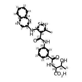 Cc1nsc(Nc2cnc3ccccc3n2)c1C(=O)Nc1cccc(C(=O)NC(C(=O)O)C(C)O)c1